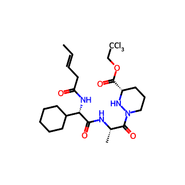 C/C=C/CC(=O)N[C@H](C(=O)N[C@@H](C)C(=O)N1CCC[C@@H](C(=O)OCC(Cl)(Cl)Cl)N1)C1CCCCC1